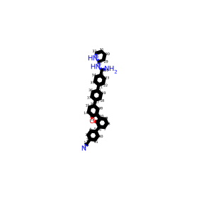 N#Cc1ccc(-c2cccc3c2oc2ccc(-c4ccc(-c5ccc(C(N)NC6C=CC=CN6)cc5)cc4)cc23)cc1